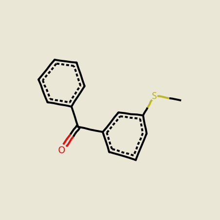 CSc1cccc(C(=O)c2ccccc2)c1